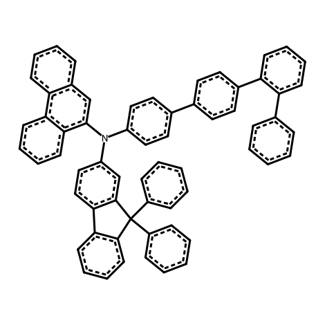 c1ccc(-c2ccccc2-c2ccc(-c3ccc(N(c4ccc5c(c4)C(c4ccccc4)(c4ccccc4)c4ccccc4-5)c4cc5ccccc5c5ccccc45)cc3)cc2)cc1